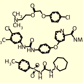 CN(C)CCOC(=O)COc1ccc(Cl)cc1.CNC(=O)c1cc(Oc2ccc(NC(=O)Nc3ccc(Cl)c(C(F)(F)F)c3)cc2)ccn1.Cc1ccc(S(=O)(=O)NC(=O)NN2CCCCCC2)cc1